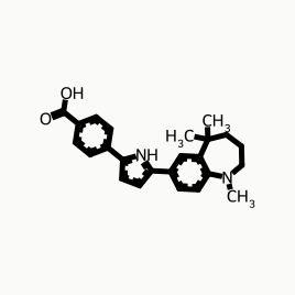 CN1CCCC(C)(C)c2cc(-c3ccc(-c4ccc(C(=O)O)cc4)[nH]3)ccc21